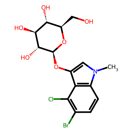 Cn1cc(O[C@@H]2O[C@H](CO)[C@@H](O)[C@H](O)[C@H]2O)c2c(Cl)c(Br)ccc21